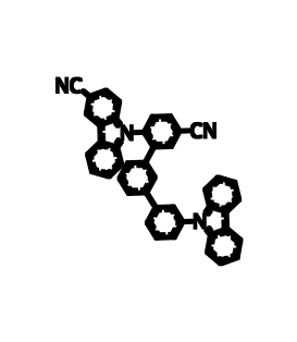 N#Cc1ccc(-n2c3ccccc3c3cc(C#N)ccc32)c(-c2cccc(-c3cccc(-n4c5ccccc5c5ccccc54)c3)c2)c1